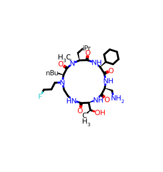 CCCC[C@H]1C(=O)N(C)[C@@H](CC(C)C)C(=O)N[C@@H](C2CCCCC2)C(=O)N[C@@H](CN)C(=O)N[C@@H]([C@H](C)O)C(=O)NCCN1CCCF